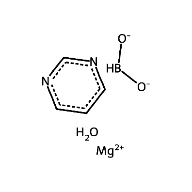 O.[Mg+2].[O-]B[O-].c1cncnc1